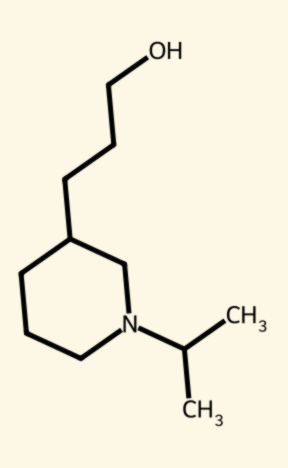 CC(C)N1CCCC(CCCO)C1